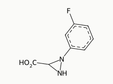 O=C(O)C1NN1c1cccc(F)c1